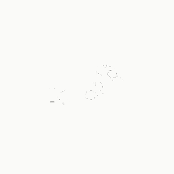 CON=C(C(=O)Nc1cc(SCC2C=C(C(=O)[O-])N3C(=O)C[C@@H]3S2)cc[n+]1NCCO)c1csc(N)n1